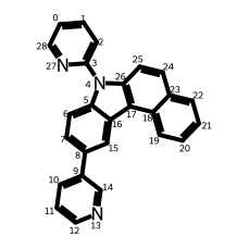 c1ccc(-n2c3ccc(-c4cccnc4)cc3c3c4ccccc4ccc32)nc1